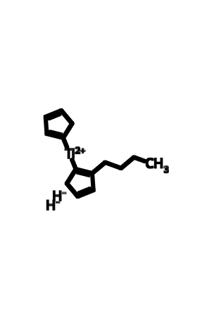 CCCCC1=[C]([Ti+2][C]2=CC=CC2)CC=C1.[H-].[H-]